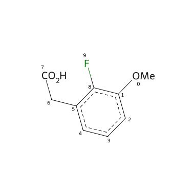 COc1cccc(CC(=O)O)c1F